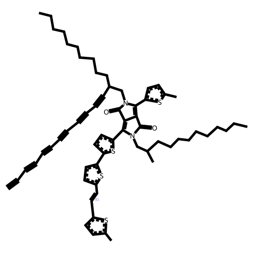 C#CC#CC#CC#CC#CC#CC(CCCCCCCCCC)CN1C(=O)C2=C(c3ccc(-c4ccc(/C=C/c5ccc(C)s5)s4)s3)N(CC(C)CCCCCCCCCC)C(=O)C2=C1c1ccc(C)s1